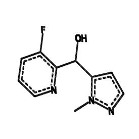 Cn1nccc1C(O)c1ncccc1F